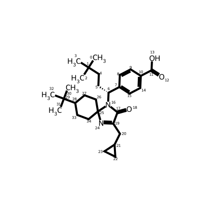 CC(C)(C)CC[C@H](c1ccc(C(=O)O)cc1)N1C(=O)C(CC2CC2)=NC12CCC(C(C)(C)C)CC2